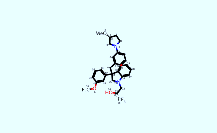 CO[C@H]1CCN(c2cccc(CC3(c4cccc(OC(F)(F)F)c4)CN(C[C@@H](O)C(F)(F)F)c4ccccc43)c2)C1